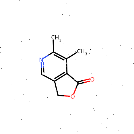 Cc1ncc2c(c1C)C(=O)OC2